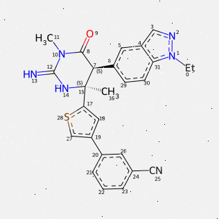 CCn1ncc2cc([C@@H]3C(=O)N(C)C(=N)N[C@]3(C)c3cc(-c4cccc(C#N)c4)cs3)ccc21